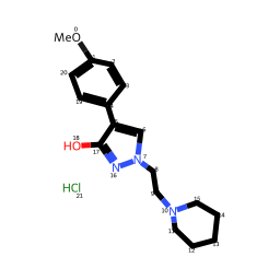 COc1ccc(-c2cn(CCN3CCCCC3)nc2O)cc1.Cl